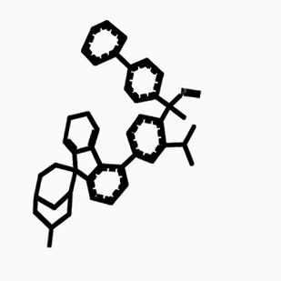 C=NC(C)(c1ccc(-c2ccccc2)cc1)c1ccc(-c2cccc3c2C2=CCCC=C2C32CCC3CC(C)CC2C3)cc1C(C)C